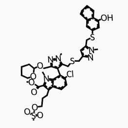 COC(=O)c1c(CCCOS(C)(=O)=O)c2ccc(Cl)c(-c3c(COC4CCCCO4)nn(C)c3CSCc3cc(CSc4cc(O)c5ccccc5c4)n(C)n3)c2n1C